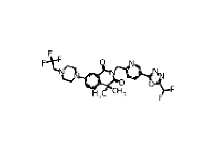 CC1(C)C(=O)N(Cc2ccc(-c3nnc(C(F)F)o3)cn2)C(=O)c2cc(N3CCN(CC(F)(F)F)CC3)ccc21